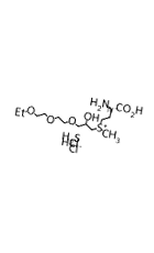 CCOCCOCCOCC(O)C[S+](C)CC[C@H](N)C(=O)O.Cl.S.[Cl-]